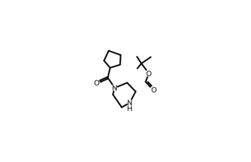 CC(C)(C)OC=O.O=C(C1CCCC1)N1CCNCC1